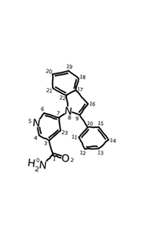 NC(=O)c1cncc(-n2c(-c3ccccc3)cc3ccccc32)c1